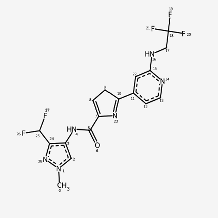 Cn1cc(NC(=O)C2=CCC(c3ccnc(NCC(F)(F)F)c3)=N2)c(C(F)F)n1